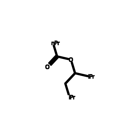 CCCC(=O)OC(CC(C)C)C(C)C